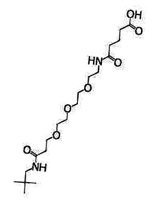 CC(C)(C)CNC(=O)CCOCCOCCOCCNC(=O)CCCC(=O)O